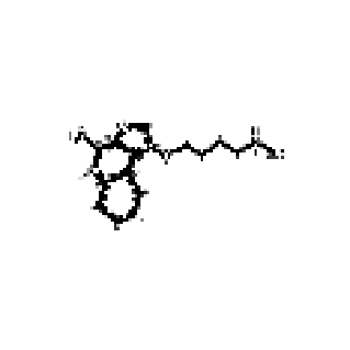 CCNCCCCOn1cnc2c(N)nc3ccccc3c21